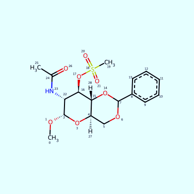 CO[C@H]1O[C@@H]2COC(c3ccccc3)O[C@H]2[C@H](OS(C)(=O)=O)[C@H]1NC(C)=O